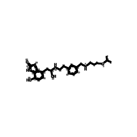 CC(C)OCCCNCc1cccc(CCNC(O)Cc2ccc(O)c3[nH]c(=O)sc23)c1